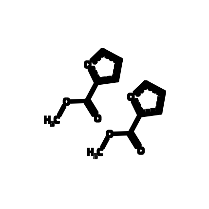 COC(=O)c1ccco1.COC(=O)c1ccco1